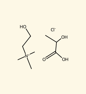 CC(O)C(=O)O.C[N+](C)(C)CCO.[Cl-]